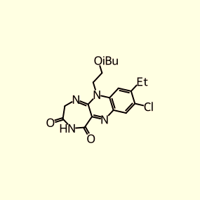 CCc1cc2c(cc1Cl)N=C1C(=O)NC(=O)CN=C1N2CCOCC(C)C